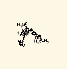 CC(C)CNC(=O)OCc1ccc(NC(=O)[C@H](CCCNC(N)=O)NC(=O)C(NC(=O)CCCCCN2C(=O)C=CC2=O)C(C)C)cc1